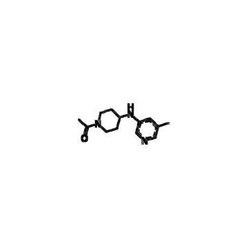 CC(=O)N1CCC(Nc2cncc(C)c2)CC1